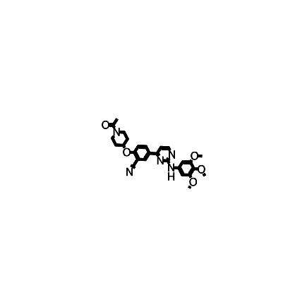 COc1cc(Nc2nccc(-c3ccc(OC4CCN(C(C)=O)CC4)c(C#N)c3)n2)cc(OC)c1OC